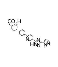 Cn1nccc1-c1n[nH]c(-c2ccc(-c3ccc([C@H]4CC[C@H](CC(=O)O)CC4)cc3)nc2)n1